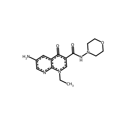 CCn1cc(C(=O)NN2CCOCC2)c(=O)c2cc(N)cnc21